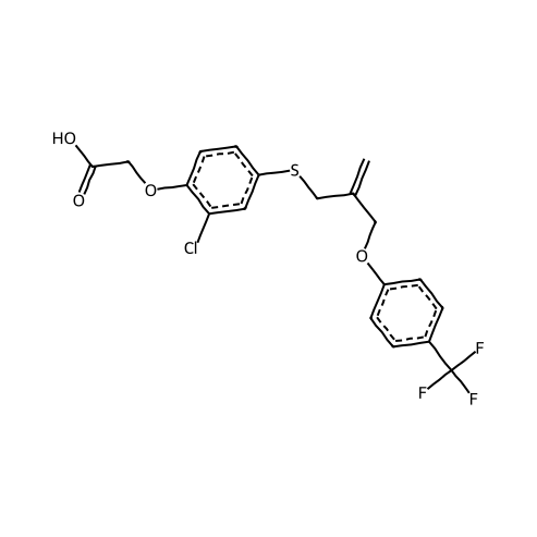 C=C(COc1ccc(C(F)(F)F)cc1)CSc1ccc(OCC(=O)O)c(Cl)c1